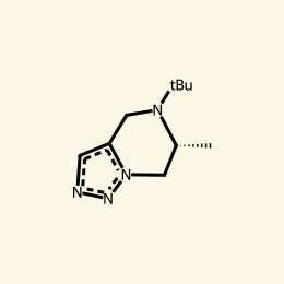 C[C@@H]1Cn2nncc2CN1C(C)(C)C